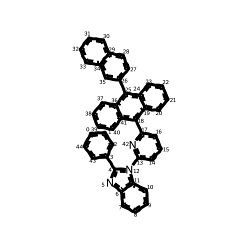 c1ccc(-c2nc3ccccc3n2-c2cccc(-c3c4ccccc4c(-c4ccc5ccccc5c4)c4ccccc34)n2)cc1